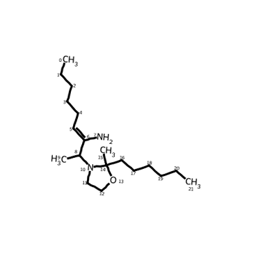 CCCCCC=C(N)C(C)N1CCOC1(C)CCCCCC